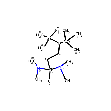 CN(C)[Si](C)(CCB([Si](C)(C)C)[Si](C)(C)C)N(C)C